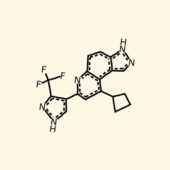 FC(F)(F)c1n[nH]cc1-c1cc(C2CCC2)c2c(ccc3[nH]ncc32)n1